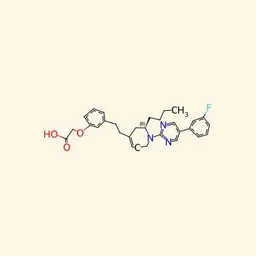 CCCC[C@@H]1CC(CCc2cccc(OCC(=O)O)c2)=CCCN1c1ncc(-c2cccc(F)c2)cn1